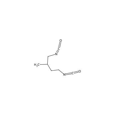 CC(CCN=C=O)CN=C=O